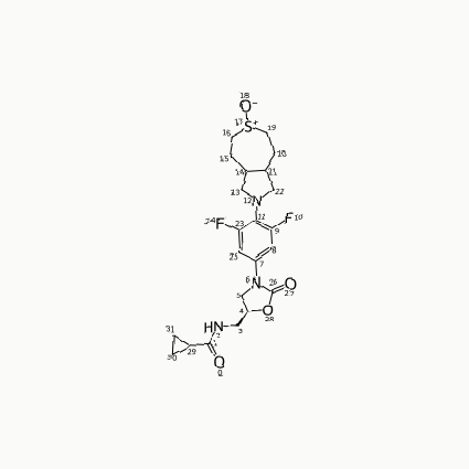 O=C(NC[C@H]1CN(c2cc(F)c(N3CC4CC[S+]([O-])CCC4C3)c(F)c2)C(=O)O1)C1CC1